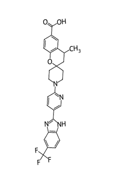 CC1CC2(CCN(c3ccc(-c4nc5cc(C(F)(F)F)ccc5[nH]4)cn3)CC2)Oc2ccc(C(=O)O)cc21